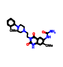 COc1cc2[nH]c(=O)n(CCN3CCN(c4ccccc4OC)CC3)c(=O)c2cc1NC(N)=O